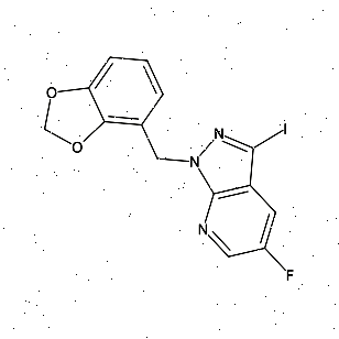 Fc1cnc2c(c1)c(I)nn2Cc1cccc2c1OCO2